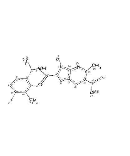 CCn1c(C(=O)NC(c2ccc(F)c(C(F)(F)F)c2)C(F)(F)F)cc2cc(C(=O)OC)c(C)nc21